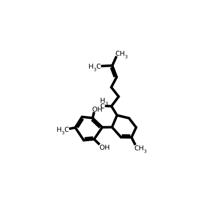 CC(C)=CCCC(C)C1CCC(C)=CC1c1c(O)cc(C)cc1O